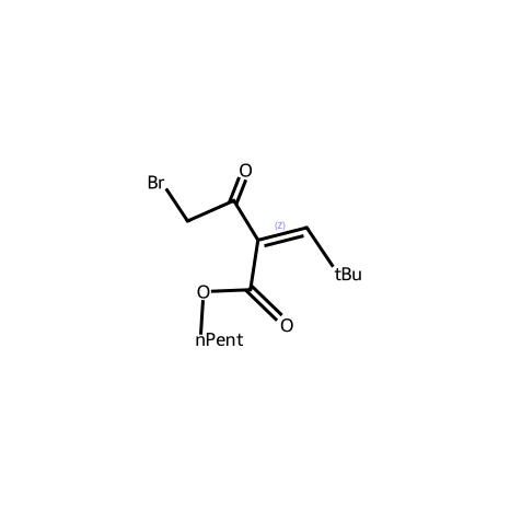 CCCCCOC(=O)/C(=C\C(C)(C)C)C(=O)CBr